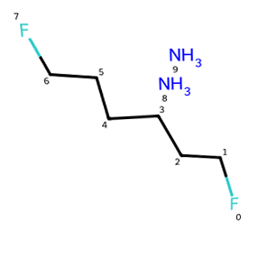 FCCCCCCF.N.N